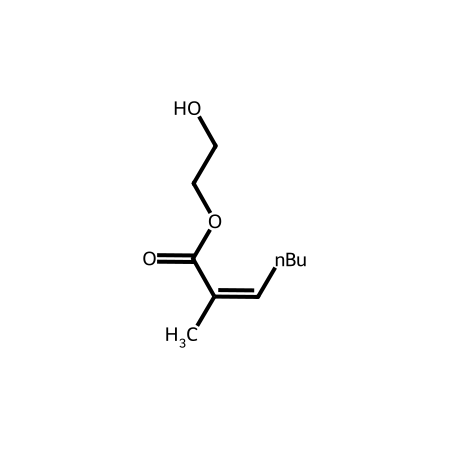 CCCCC=C(C)C(=O)OCCO